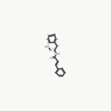 O=C(/C=C/c1ccccc1)N[C@H](CO)Cc1ccccc1